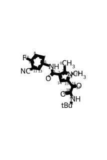 Cc1c(C(=O)Nc2ccc(F)c(C#N)c2)cc(C(=O)C(=O)NC(C)(C)C)n1C